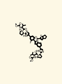 COC(=O)N[C@H](C(=O)N1CCC[C@H]1c1ncc(-c2cc(F)c3c(c2)OC(c2cc4c(s2)CCC4)n2c-3cc3cc(-c4cnc([C@@H]5CCCN5C(=O)[C@@H](NC(=O)OC)C(C)C)[nH]4)ccc32)[nH]1)C(C)C